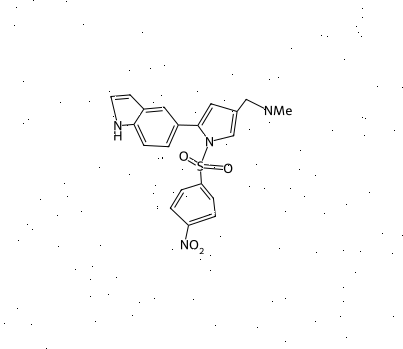 CNCc1cc(-c2ccc3[nH]ccc3c2)n(S(=O)(=O)c2ccc([N+](=O)[O-])cc2)c1